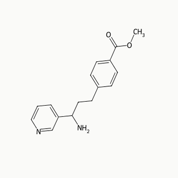 COC(=O)c1ccc(CCC(N)c2cccnc2)cc1